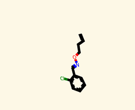 C=CCCON=[C]c1ccccc1Cl